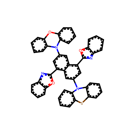 c1ccc2c(c1)Oc1ccccc1N2c1cc(-c2nc3ccccc3o2)c2cc(N3c4ccccc4Sc4ccccc43)cc(-c3nc4ccccc4o3)c2c1